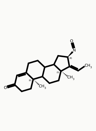 CC=C1[C@H](N=O)CC2C3CCC4=CC(=O)CC[C@]4(C)C3CC[C@]12C